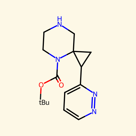 CC(C)(C)OC(=O)N1CCNCC12CC2c1cccnn1